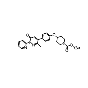 Cc1nn(-c2ccccn2)c(=O)cc1-c1ccc(OC2CCN(C(=O)OC(C)(C)C)CC2)cc1